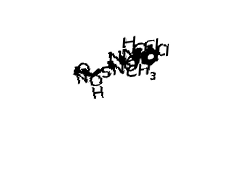 COc1nc(SCC(O)c2ncco2)cnc1NS(=O)(=O)c1cccc(Cl)c1Cl